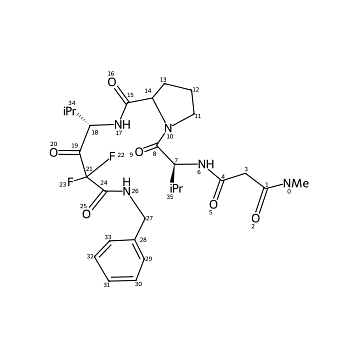 CNC(=O)CC(=O)N[C@H](C(=O)N1CCCC1C(=O)N[C@H](C(=O)C(F)(F)C(=O)NCc1ccccc1)C(C)C)C(C)C